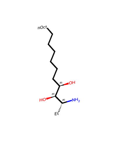 CCCCCCCCCCCCCC[C@@H](O)[C@H](O)[C@H](N)CC